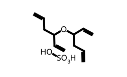 C=CCC(C=C)OC(C=C)CC=C.O=S(=O)(O)O